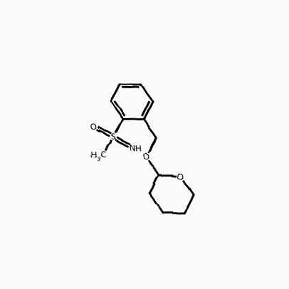 CS(=N)(=O)c1ccccc1COC1CCCCO1